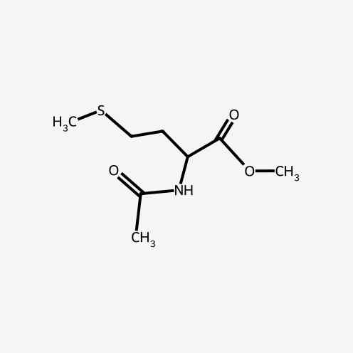 COC(=O)C(CCSC)NC(C)=O